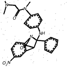 CN(C)CC(=O)N(C)c1ccc(NC2(c3ccccc3)C3C(=O)N2c2ccc([N+](=O)[O-])cc23)cc1